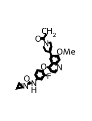 C=CC(=O)N1CC=C(c2cc3c(Oc4ccc(NC(=O)NC5CC5)cc4F)ccnc3cc2OC)CC1